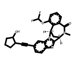 CN1C(=O)c2cccc(OC(F)F)c2[C@H]2C[C@@H]1c1nc3ccc(C#CC4CCCC4O)cc3n12